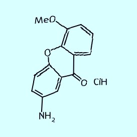 COc1cccc2c(=O)c3cc(N)ccc3oc12.Cl